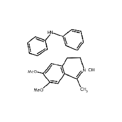 COc1cc2c(cc1OC)C(C)=NCC2.Cl.c1ccc(Nc2ccccc2)cc1